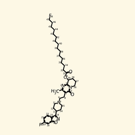 Cc1nc2n(c(=O)c1CCN1CCC(c3noc4cc(F)ccc34)CC1)CCCC2OC(=O)CCCCCCCCCCCCCCCF